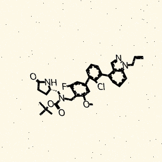 C=CCn1ncc2c(-c3cccc(-c4cc(F)c(CN(C[C@@H]5CCC(=O)N5)C(=O)OC(C)(C)C)c(OC)c4)c3Cl)cccc21